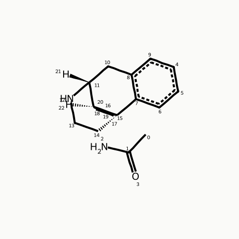 CC(N)=O.c1ccc2c(c1)C[C@H]1NCC[C@@]23CCCC[C@@H]13